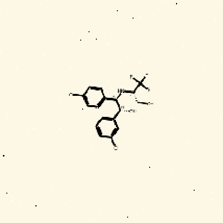 OC[C@H](N[C@H](c1ccc(Cl)cc1)[C@H](O)c1cccc(Cl)c1)C(F)(F)F